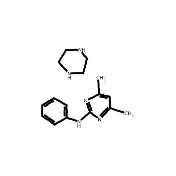 C1CNCCN1.Cc1cc(C)nc(Nc2ccccc2)n1